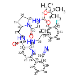 C[C@@H](NC(=O)OC(C)(C)C)C(=O)N1CCC[C@@H]1CNC(=O)c1ccc(-c2ccccc2C#N)nc1NCCc1cccc(F)c1